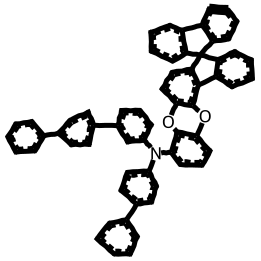 c1ccc2c(c#1)-c1ccccc1C21c2ccccc2-c2c1ccc1c2Oc2cccc(N(c3ccc(-c4ccccc4)cc3)c3cccc(-c4ccc(-c5ccccc5)cc4)c3)c2O1